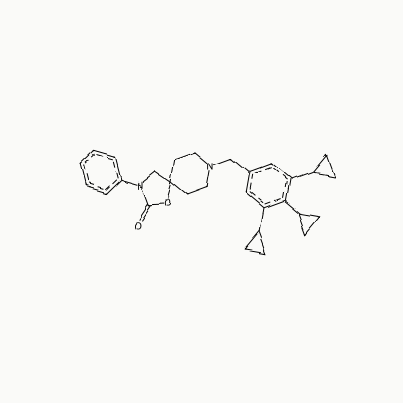 O=C1OC2(CCN(Cc3cc(C4CC4)c(C4CC4)c(C4CC4)c3)CC2)CN1c1ccccc1